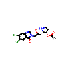 CC(C)C(=O)O[C@@H]1CCN[C@H]1CC(=O)Cn1cnc2cc(Br)c(Cl)cc2c1=O